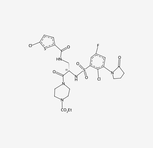 CCOC(=O)N1CCN(C(=O)[C@H](CNC(=O)c2ccc(Cl)s2)NS(=O)(=O)c2cc(F)cc(N3CCCC3=O)c2Cl)CC1